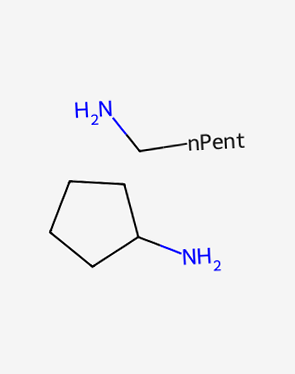 CCCCCCN.NC1CCCC1